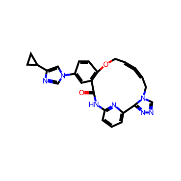 O=C1Nc2cccc(n2)-c2nncn2CC=C=CCOc2ccc(-n3cnc(C4CC4)c3)cc21